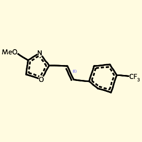 COc1coc(/C=C/c2ccc(C(F)(F)F)cc2)n1